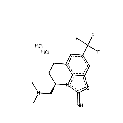 CN(C)C[C@H]1CCc2cc(C(F)(F)F)cc3sc(=N)n1c23.Cl.Cl